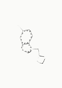 [C-]#[N+]c1ccc2c(c1)ncn2CC1CCO1